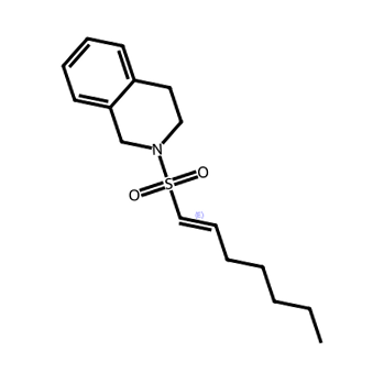 CCCCC/C=C/S(=O)(=O)N1CCc2ccccc2C1